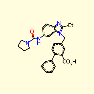 CCc1nc2ccc(NC(=O)N3CCCC3)cc2n1Cc1ccc(-c2ccccc2)c(C(=O)O)c1